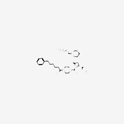 NN=CN1CCC[C@H](C[C@H]2C(=O)N(C(=O)N3CCN(C(=O)CCCCCc4ccccc4)CC3)[C@@H]2C(=O)O)C1